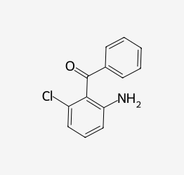 Nc1cccc(Cl)c1C(=O)c1ccccc1